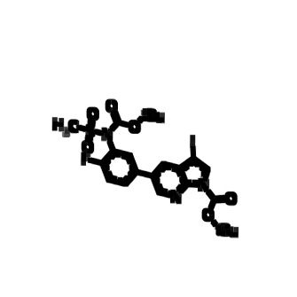 CC(C)(C)OC(=O)N(c1cc(-c2cnc3c(c2)c(I)cn3C(=O)OC(C)(C)C)ccc1F)S(C)(=O)=O